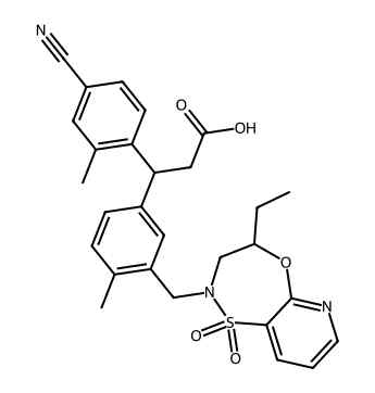 CCC1CN(Cc2cc(C(CC(=O)O)c3ccc(C#N)cc3C)ccc2C)S(=O)(=O)c2cccnc2O1